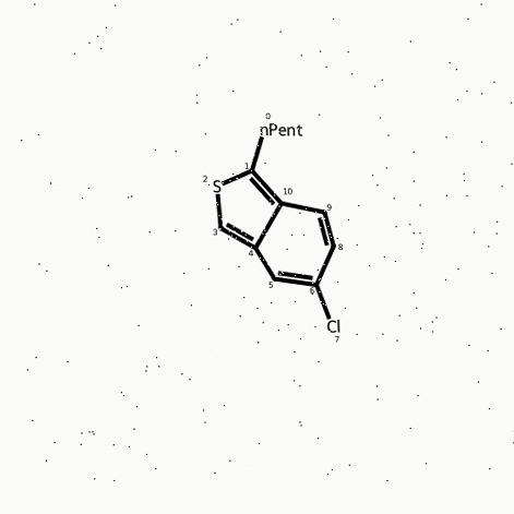 [CH2]CCCCc1scc2cc(Cl)ccc12